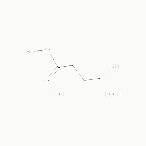 CC(C)(C)OC(=O)CC[C@H](N)C(=O)O.Cl